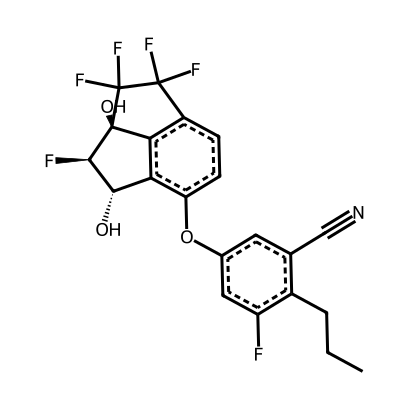 CCCc1c(F)cc(Oc2ccc3c4c2[C@H](O)[C@@H](F)[C@]4(O)C(F)(F)C3(F)F)cc1C#N